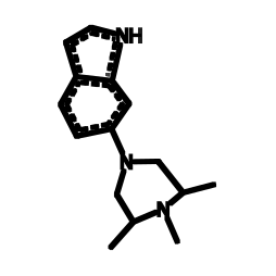 CC1CN(c2ccc3cc[nH]c3c2)CC(C)N1C